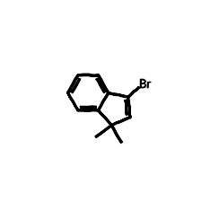 CC1(C)C=C(Br)c2ccccc21